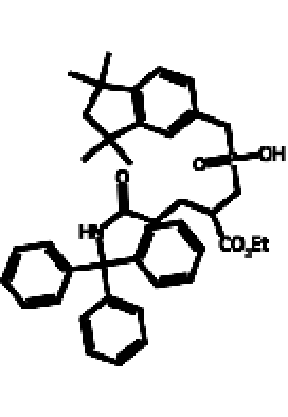 CCOC(=O)C(CCC(=O)NC(c1ccccc1)(c1ccccc1)c1ccccc1)CP(=O)(O)Cc1ccc2c(c1)C(C)(C)CC2(C)C